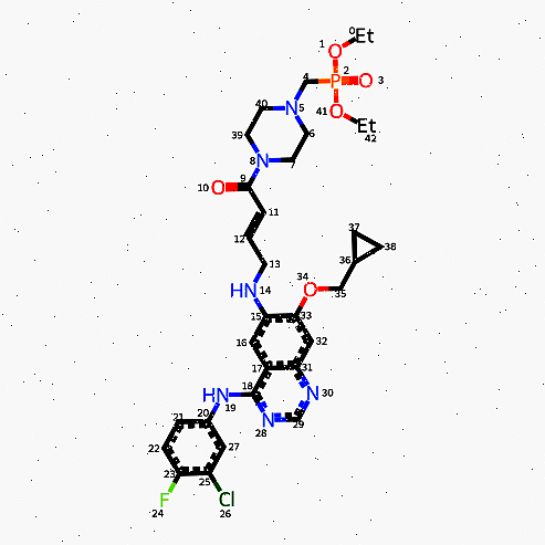 CCOP(=O)(CN1CCN(C(=O)C=CCNc2cc3c(Nc4ccc(F)c(Cl)c4)ncnc3cc2OCC2CC2)CC1)OCC